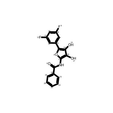 O=C(Nc1oc(-c2cc(F)cc(F)c2)c(O)c1O)c1ccccc1